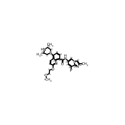 COCCOc1ccc2c(N3C[C@@H](C)N[C@H](C)C3)ccc(C(=O)Nc3cc(F)c4nc(C)cn4c3)c2n1